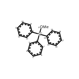 CO[Si](c1ccccc1)(c1ccccc1)c1ccccc1